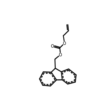 C=CCOC(=O)OCC1c2ccccc2-c2ccccc21